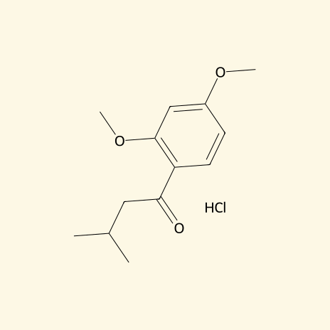 COc1ccc(C(=O)CC(C)C)c(OC)c1.Cl